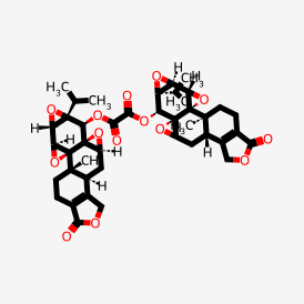 CC(C)[C@]12O[C@H]1[C@@H]1O[C@]13[C@]1(O[C@H]1C[C@H]1C4=C(CC[C@@]13C)C(=O)OC4)[C@@H]2OC(=O)C(=O)O[C@@H]1[C@@]2(C(C)C)O[C@H]2[C@@H]2O[C@]23[C@]12O[C@H]2C[C@H]1C2=C(CC[C@@]13C)C(=O)OC2